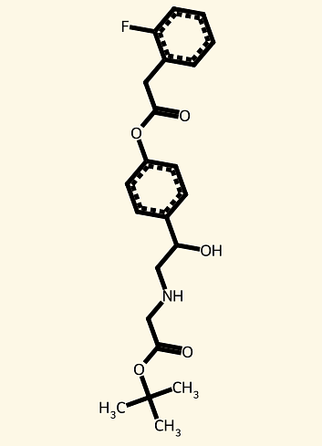 CC(C)(C)OC(=O)CNCC(O)c1ccc(OC(=O)Cc2ccccc2F)cc1